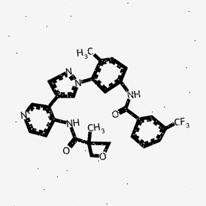 Cc1ccc(NC(=O)c2cccc(C(F)(F)F)c2)cc1-n1cc(-c2cnccc2NC(=O)C2(C)COC2)cn1